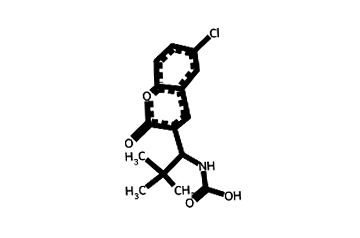 CC(C)(C)C(NC(=O)O)c1cc2cc(Cl)ccc2oc1=O